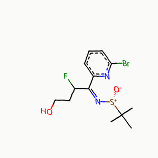 CC(C)(C)[S@@+]([O-])/N=C(\c1cccc(Br)n1)C(F)CCO